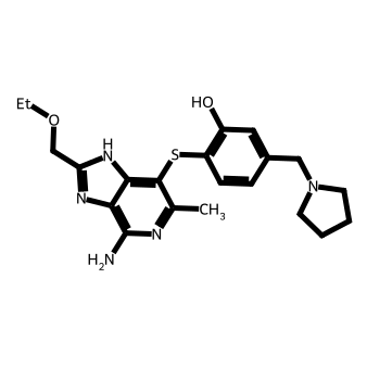 CCOCc1nc2c(N)nc(C)c(Sc3ccc(CN4CCCC4)cc3O)c2[nH]1